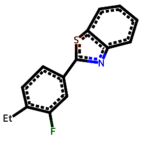 CCc1ccc(-c2nc3ccccc3s2)cc1F